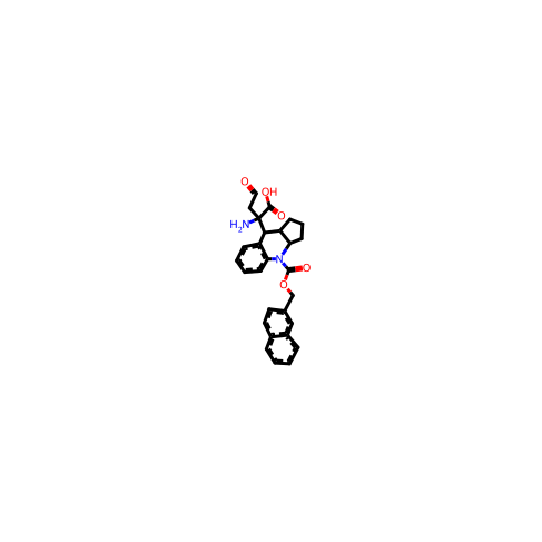 NC(CC=O)(C(=O)O)C1c2ccccc2N(C(=O)OCc2ccc3ccccc3c2)C2CCCC21